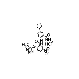 Cl.Cn1nnnc1Sc1ccc([N+](=O)[O-])cc1C(=O)Nc1ccc(C2CCCC2)cc1C(N)=O